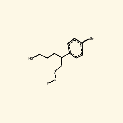 SCCCC(COSI)c1ccc(Br)cc1